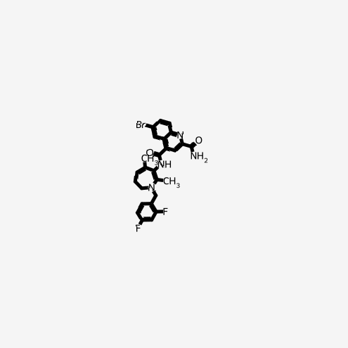 CC1=CCCN(Cc2ccc(F)cc2F)C(C)=C1NC(=O)c1cc(C(N)=O)nc2ccc(Br)cc12